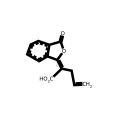 C=CC/C(C(=O)O)=C1\OC(=O)c2ccccc21